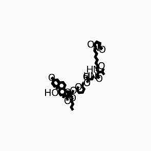 CCCC1OC2CC3C4CCC5=CC(=O)C=CC5(C)C4C(O)CC3(C)C2(C(=O)COC2CCCC(COC(=O)CNC(=O)C(NC(=O)CCCCCN3C(=O)C=CC3=O)C(C)C)O2)O1